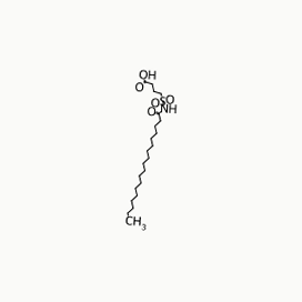 CCCCCCCCCCCCCCCCCC(=O)NS(=O)(=O)CCCC(=O)O